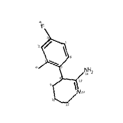 Cc1cc(F)ccc1C1CCCN=C1N